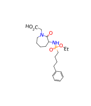 CCOP(=O)(CCCCc1ccccc1)NC1CCCCN(CC(=O)O)C1=O